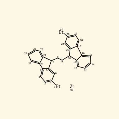 CCc1ccc2c(c1)C(CCC1c3ccccc3-c3ccc(CC)cc31)c1ccccc1-2.[Zr]